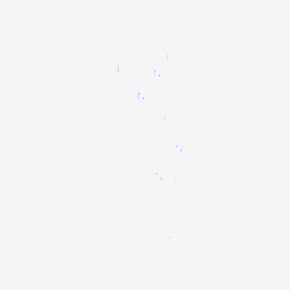 CCCCc1nc2cc(CN3CCN(C(c4ccccc4)c4ccccc4)CC3)ccc2n1CC